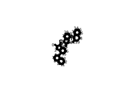 CC1=Cc2c(-c3cccc4ccccc34)cccc2C1SC1C(C)=Cc2c1cccc2N1c2ccccc2CCC1C